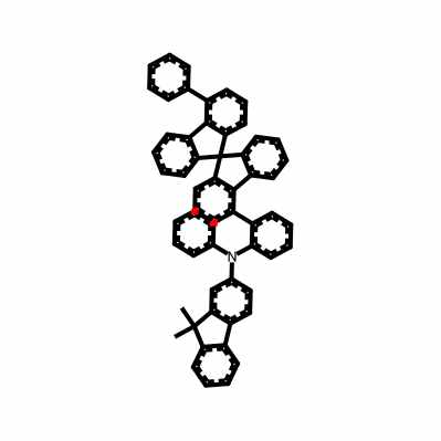 CC1(C)c2ccccc2-c2ccc(N(c3ccccc3)c3ccccc3-c3cccc4c3-c3ccccc3C43c4ccccc4-c4c(-c5ccccc5)cccc43)cc21